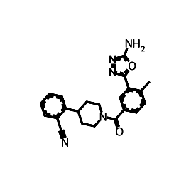 Cc1ccc(C(=O)N2CCC(c3ccccc3C#N)CC2)cc1-c1nnc(N)o1